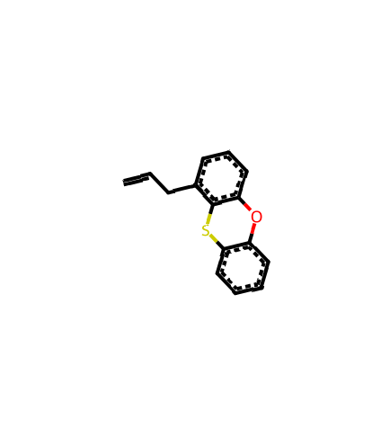 C=CCc1cccc2c1Sc1ccccc1O2